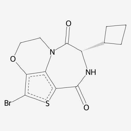 O=C1N[C@@H](C2CCC2)C(=O)N2CCOc3c(Br)sc1c32